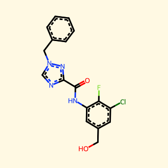 O=C(Nc1cc(CO)cc(Cl)c1F)c1ncn(Cc2ccccc2)n1